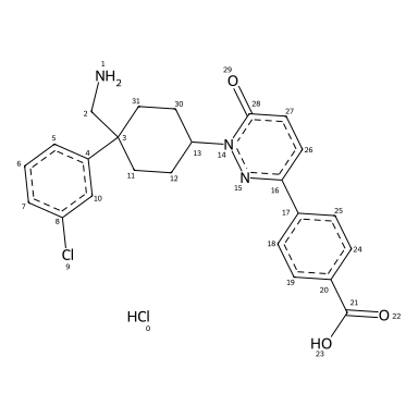 Cl.NCC1(c2cccc(Cl)c2)CCC(n2nc(-c3ccc(C(=O)O)cc3)ccc2=O)CC1